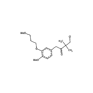 COCCCOc1cc(CC(=O)C(C)(C)CCl)ccc1OC